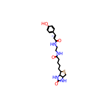 O=C(/C=C/c1ccc(O)cc1)NCCNC(=O)CCCCC1SCC2NC(=O)NC21